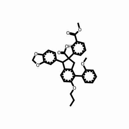 CCCOc1ccc2c(c1-c1ccccc1OC)CC(C(=O)O)(c1cccc(C(=O)OC)c1)C2c1ccc2c(c1)OCO2